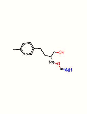 Cc1ccc(CC[C@@H](BOC=N)CO)cc1